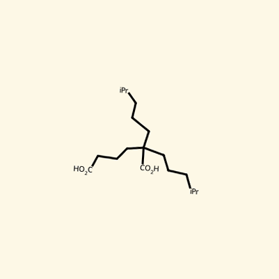 CC(C)CCCC(CCCC(=O)O)(CCCC(C)C)C(=O)O